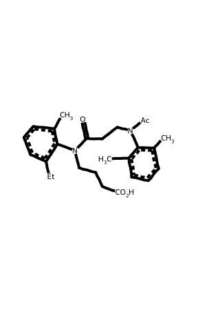 CCc1cccc(C)c1N(CCCC(=O)O)C(=O)CCN(C(C)=O)c1c(C)cccc1C